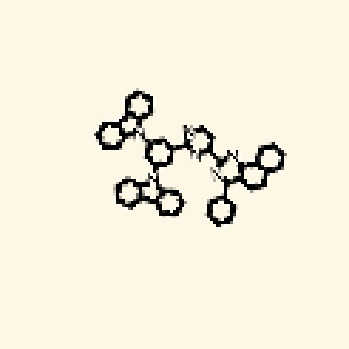 c1ccc(-c2nc(-c3ccnc(-c4cc(-n5c6ccccc6c6ccccc65)cc(-n5c6ccccc6c6ccccc65)c4)n3)nc3c2ccc2ccccc23)cc1